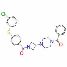 O=C(c1ccccc1)N1CCN(C2CN(C(=O)c3ccc(Sc4cccc(Cl)c4)cc3)C2)CC1